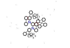 CC1(C)c2ccccc2-c2ccc(N(c3cc(-c4ccc5c(c4)C4(c6ccccc6-c6ccccc64)c4ccccc4-5)cc(N(c4ccc5c(c4)C(C)(C)c4ccccc4-5)c4ccccc4-c4ccccc4)c3)c3ccccc3-c3ccccc3)cc21